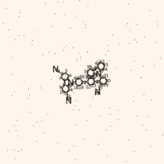 N#Cc1ccc2c(c1)c1ccc(C#N)cc1n2-c1ccc(-c2ccc(-c3c(C#N)cccc3-n3c4ccccc4c4ccccc43)cc2)cc1